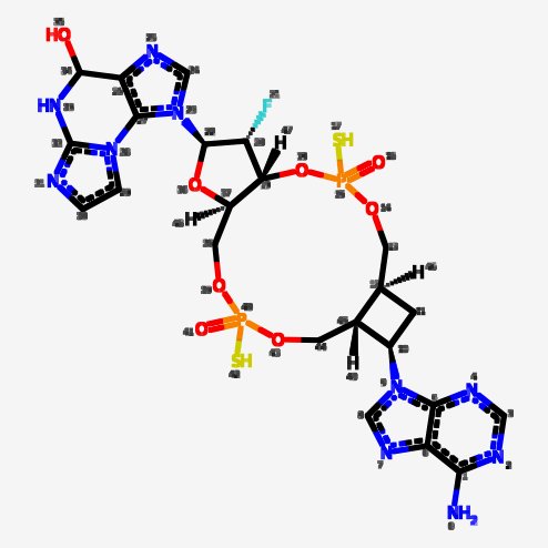 Nc1ncnc2c1ncn2[C@@H]1C[C@@H]2COP(=O)(S)O[C@H]3[C@@H](F)[C@H](n4cnc5c4-n4ccnc4NC5O)O[C@@H]3COP(=O)(S)OC[C@H]21